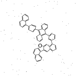 c1cc(-c2cccc3cc4c(cc23)oc2ccc3ccccc3c24)cc(-c2c3ccccc3c(-c3ccc(-c4cccc5ccccc45)cc3)c3ccccc23)c1